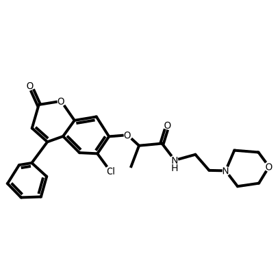 CC(Oc1cc2oc(=O)cc(-c3ccccc3)c2cc1Cl)C(=O)NCCN1CCOCC1